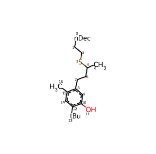 CCCCCCCCCCCCSC(C)CCc1cc(O)c(C(C)(C)C)cc1C